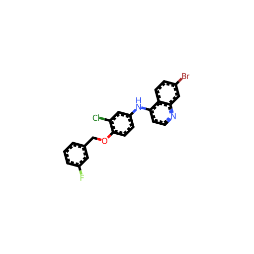 Fc1cccc(COc2ccc(Nc3ccnc4cc(Br)ccc34)cc2Cl)c1